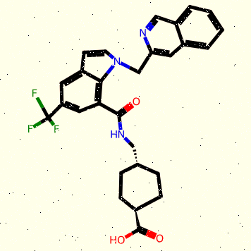 O=C(NC[C@H]1CC[C@H](C(=O)O)CC1)c1cc(C(F)(F)F)cc2ccn(Cc3cc4ccccc4cn3)c12